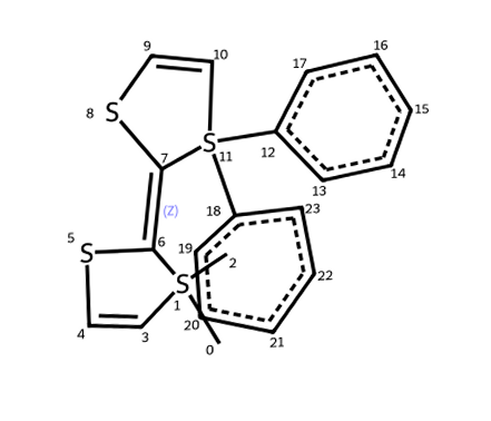 CS1(C)C=CS/C1=C1\SC=CS1(c1ccccc1)c1ccccc1